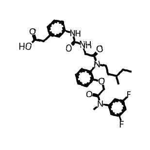 CCC(C)CCN(C(=O)CNC(=O)Nc1cccc(CC(=O)O)c1)c1ccccc1OCC(=O)N(C)c1cc(F)cc(F)c1